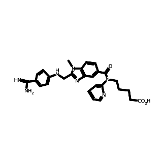 Cn1c(CNc2ccc(C(=N)N)cc2)nc2cc(C(=O)N(CCCCC(=O)O)c3ccccn3)ccc21